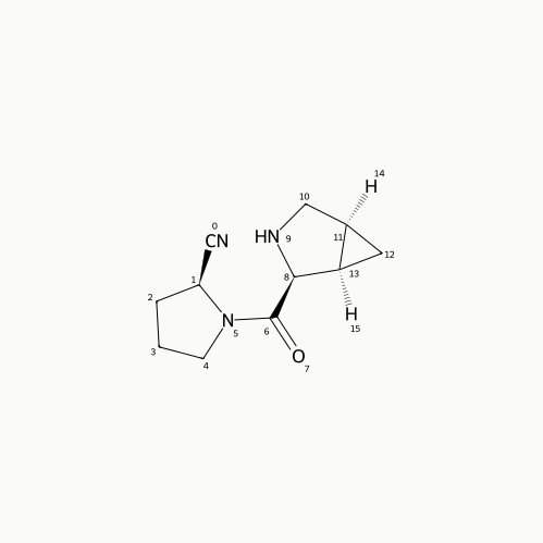 N#C[C@@H]1CCCN1C(=O)[C@H]1NC[C@H]2C[C@H]21